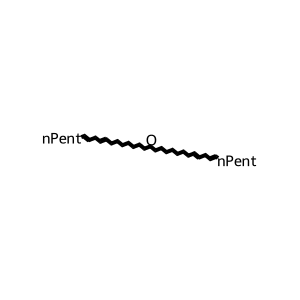 CCCCCC=CCC=CCCCCCCCC(=O)CCCCCCCC=CCC=CCCCCC